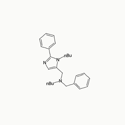 CCCCN(Cc1ccccc1)Cc1cnc(-c2ccccc2)n1CCCC